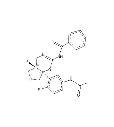 CC(=O)Nc1ccc(F)c([C@]23COC[C@]2(F)CN=C(NC(=O)c2ccccc2)O3)c1